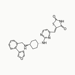 O=C1NC(=O)/C(=C/c2ccnc(N[C@H]3CC[C@H](NCc4ccccc4-c4ccoc4)CC3)n2)S1